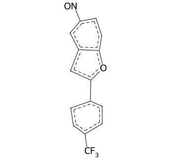 O=Nc1ccc2oc(-c3ccc(C(F)(F)F)cc3)cc2c1